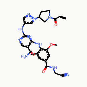 C=CC(=O)N1CCC(n2cc(Nc3ncc(C(N)=O)c(Nc4c(C)cc(C(=O)NCC#N)cc4OC)n3)cn2)C1